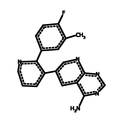 Cc1cc(-c2ncccc2-c2cnc3ncnc(N)c3c2)ccc1F